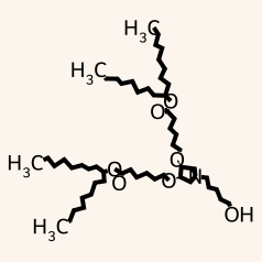 CCCCCCCCC(CCCCCCCC)OC(=O)CCCCCO[C@H]1CN(CCCCCO)C[C@H]1OCCCCCC(=O)OC(CCCCCCCC)CCCCCCCC